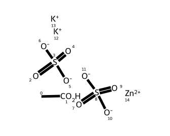 CC(=O)O.O=S(=O)([O-])[O-].O=S(=O)([O-])[O-].[K+].[K+].[Zn+2]